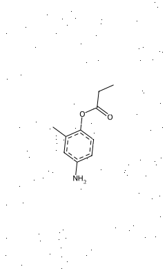 CCC(=O)Oc1ccc(N)cc1C